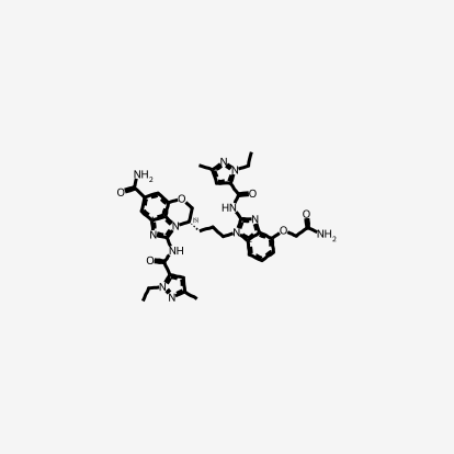 CCn1nc(C)cc1C(=O)Nc1nc2c(OCC(N)=O)cccc2n1CCC[C@H]1COc2cc(C(N)=O)cc3nc(NC(=O)c4cc(C)nn4CC)n1c23